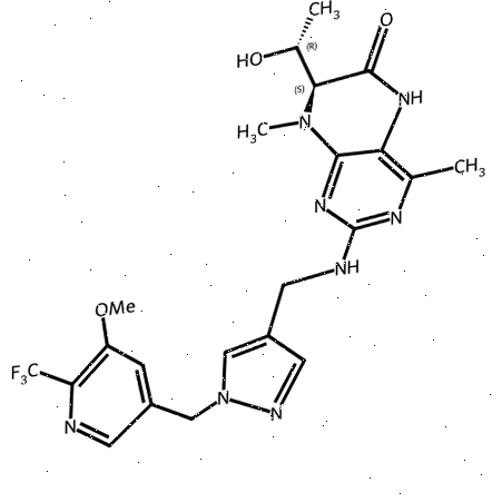 COc1cc(Cn2cc(CNc3nc(C)c4c(n3)N(C)[C@@H]([C@@H](C)O)C(=O)N4)cn2)cnc1C(F)(F)F